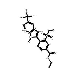 CCOC(=O)c1cnc(-c2nc3cc(C(F)(F)F)cnc3n2C)c(S(=O)(=O)CC)c1